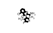 Cc1c(F)cncc1-n1c(C(C)N)nc2cccc(Cl)c2c1=O